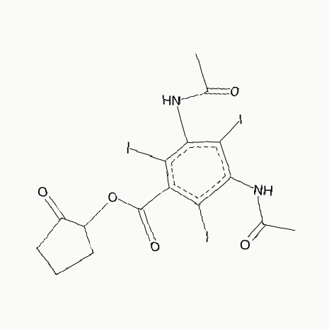 CC(=O)Nc1c(I)c(NC(C)=O)c(I)c(C(=O)OC2CCCC2=O)c1I